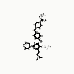 CCOC(=O)c1c(CCN(C)C)nc(N2CCOCC2)nc1Nc1ccc(CN2CCN(C(=O)OC(C)(C)C)CC2)cc1